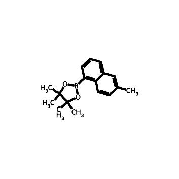 Cc1ccc2c(B3OC(C)(C)C(C)(C)O3)cccc2c1